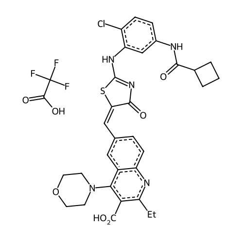 CCc1nc2ccc(C=C3SC(Nc4cc(NC(=O)C5CCC5)ccc4Cl)=NC3=O)cc2c(N2CCOCC2)c1C(=O)O.O=C(O)C(F)(F)F